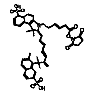 C=C(/C=C/C=C/C=C1/N(CCCCCC(=O)ON2C(=O)CCC2=O)c2ccc3c(S(=O)(=O)O)cccc3c2C1(C)C)C(C)(C)c1c(C)ccc2ccc(S(=O)(=O)O)cc12